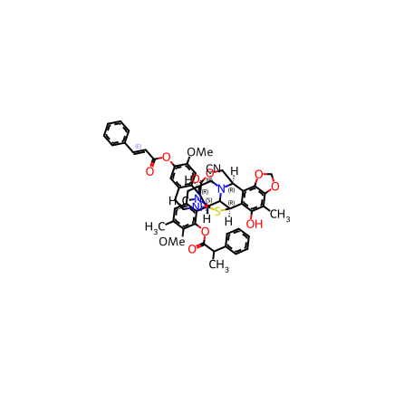 COc1cc2c(cc1OC(=O)/C=C/c1ccccc1)CCN[C@]21CS[C@@H]2c3c(O)c(C)c4c(c3[C@H](COC1=O)N1C2[C@@H]2c3c(cc(C)c(OC)c3OC(=O)C(C)c3ccccc3)C[C@@H]([C@@H]1C#N)N2C)OCO4